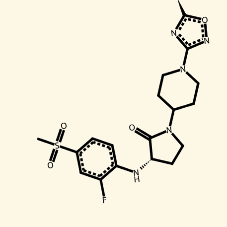 CC[C@H](C)c1nc(N2CCC(N3CC[C@H](Nc4ccc(S(C)(=O)=O)cc4F)C3=O)CC2)no1